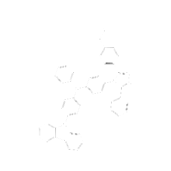 CCCc1ccc(-c2nnc(-c3ccccc3)n2-c2ccc(N(c3ccccc3)c3ccc(-n4c5ccccc5c5ccccc54)cc3)cc2)cc1